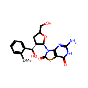 COc1ccccc1C(O)[C@@H]1CC(CO)O[C@H]1n1c(=O)sc2c(=O)[nH]c(N)nc21